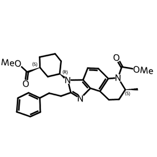 COC(=O)[C@H]1CCC[C@@H](n2c(CCc3ccccc3)nc3c4c(ccc32)N(C(=O)OC)[C@@H](C)CC4)C1